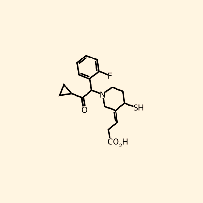 O=C(O)C/C=C1\CN(C(C(=O)C2CC2)c2ccccc2F)CCC1S